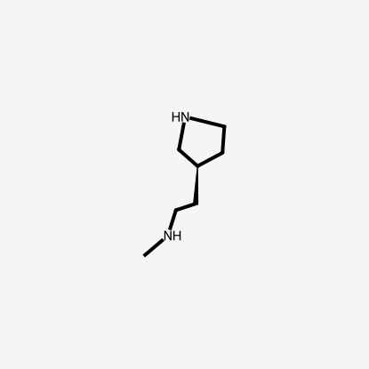 CNCC[C@@H]1CCNC1